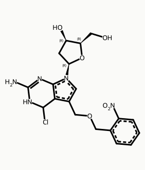 NC1=Nc2c(c(COCc3ccccc3[N+](=O)[O-])cn2[C@H]2C[C@@H](O)[C@@H](CO)O2)C(Cl)N1